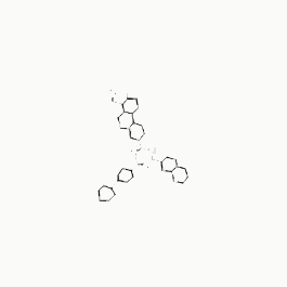 Cc1ccc2c(ccc3cc(C4=NC(c5ccc(-c6ccccc6)cc5)=NC(c5ccc6ccccc6c5)N4)ccc32)c1C=N